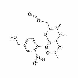 CC(=O)OC1[C@H](Oc2ccc(CO)cc2[N+](=O)[O-])OC(COC=O)[C@@H](C)[C@@H]1C